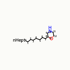 CCCCCCCCCCCCCCC1CNCCO1